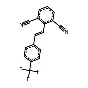 N#Cc1cccc(C#N)c1C=Cc1ccc(C(F)(F)F)cc1